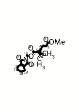 COC(=O)C=CC1C(C(=O)OCN2C(=O)C3=C(CCCC3)C2=O)C1(C)C